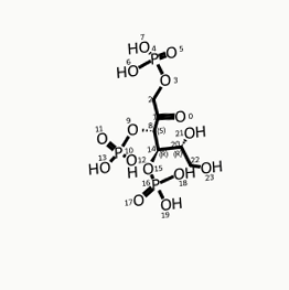 O=C(COP(=O)(O)O)[C@@H](OP(=O)(O)O)[C@H](OP(=O)(O)O)[C@H](O)CO